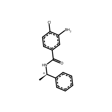 Bc1cc(C(=O)N[C@H](C)c2ccccc2)ccc1Cl